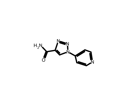 NC(=O)c1cn(-c2ccncc2)nn1